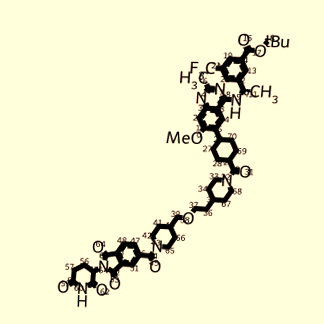 COc1cc2nc(C)nc(N[C@H](C)c3cc(C(=O)OC(C)(C)C)cc(C(F)(F)F)c3)c2cc1C1CCC(C(=O)N2CCC(CCOCC3CCN(C(=O)c4ccc5c(c4)C(=O)N(C4CCC(=O)NC4=O)C5=O)CC3)CC2)CC1